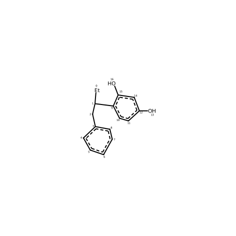 CCC(Cc1ccccc1)c1ccc(O)cc1O